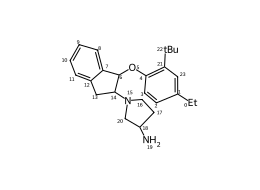 CCc1ccc(OC2c3ccccc3CC2N2CCC(N)C2)c(C(C)(C)C)c1